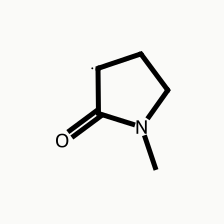 CN1CC[CH]C1=O